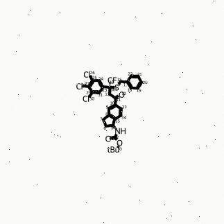 CC(C)(C)OC(=O)NC1CCc2cc(C(=O)C[C@](SCc3ccccc3)(c3cc(Cl)c(Cl)c(Cl)c3)C(F)(F)F)ccc21